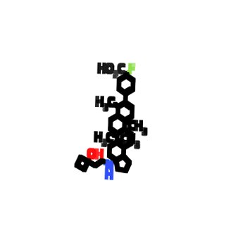 CC1C(C2=CCC(F)(C(=O)O)CC2)=CCC2(C)C1CCC1(C)C2CCC2C3CCCC3(NCCC3(O)CCC3)CC[C@]21C